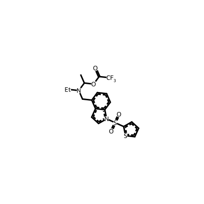 CCN(Cc1cccc2c1ccn2S(=O)(=O)c1cccs1)C(C)OC(=O)C(F)(F)F